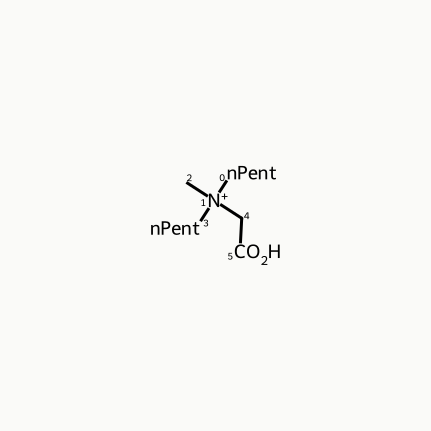 CCCCC[N+](C)(CCCCC)CC(=O)O